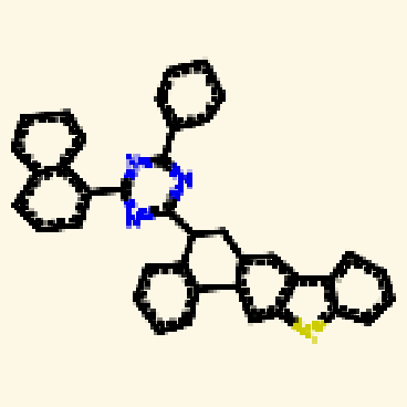 c1ccc(-c2nc(-c3cccc4ccccc34)nc(C3Cc4cc5c(cc4-c4ccccc43)sc3ccccc35)n2)cc1